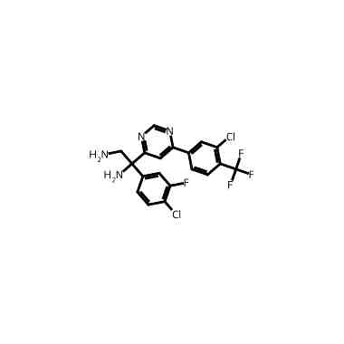 NCC(N)(c1ccc(Cl)c(F)c1)c1cc(-c2ccc(C(F)(F)F)c(Cl)c2)ncn1